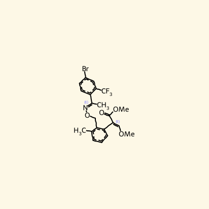 CO/C=C(/C(=O)OC)c1cccc(C)c1CO/N=C(\C)c1ccc(Br)cc1C(F)(F)F